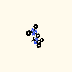 CC(C)c1nc2c3ccccc3c3ccccc3c2n1-c1cccc(-c2nc(-c3ccccc3)nc(-c3ccccc3)n2)c1